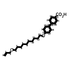 C=CCOCCCCCCCCCCOc1ccc(-c2ccc(C(=O)O)cc2)cc1